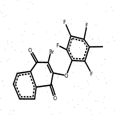 Cc1c(F)c(F)c(F)c(OC2=C(Br)C(=O)c3ccccc3C2=O)c1F